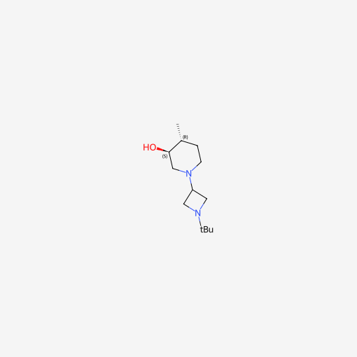 C[C@@H]1CCN(C2CN(C(C)(C)C)C2)C[C@H]1O